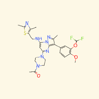 COc1ccc(-c2c(C)nn3c(NCc4sc(C)nc4C)cc(N4CCN(C(C)=O)CC4)nc23)cc1OC(F)F